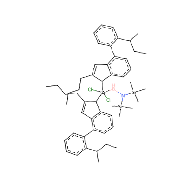 CCCCC1=Cc2c(-c3ccccc3C(C)CC)cccc2[CH]1[Zr]([Cl])([Cl])([BH]N([Si](C)(C)C)[Si](C)(C)C)[CH]1C(CCCC)=Cc2c(-c3ccccc3C(C)CC)cccc21